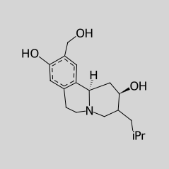 CC(C)CC1CN2CCc3cc(O)c(CO)cc3[C@H]2C[C@H]1O